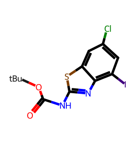 CC(C)(C)OC(=O)Nc1nc2c(I)cc(Cl)cc2s1